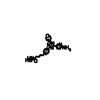 Nc1ccc(-c2nc(N3CCOCC3)nc(N3CCN(CCCCC(=O)NO)CC3)n2)cn1